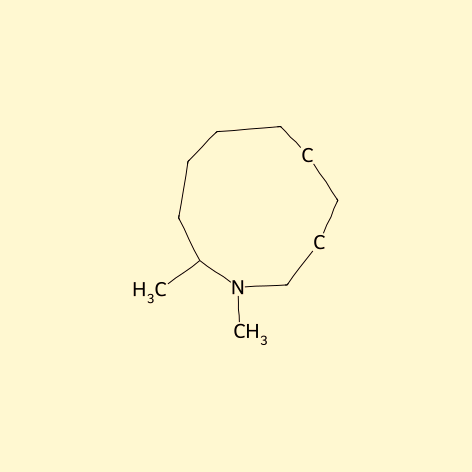 CC1CCCCCCCCN1C